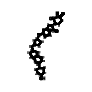 O=C1CCC(N2Cc3cc(O[C@H]4CCN(Cc5ccc6nc(C7CCC(O)CC7)ccc6c5)C4)ccc3C2=O)C(=O)N1